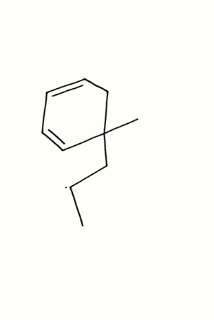 C[CH]CC1(C)C=CC=CC1